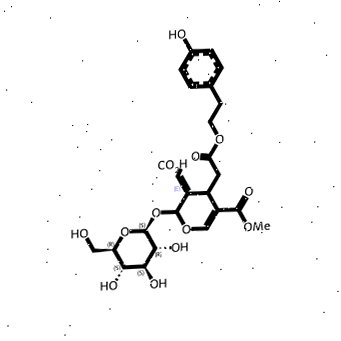 COC(=O)C1=COC(O[C@@H]2O[C@H](CO)[C@@H](O)[C@H](O)[C@H]2O)/C(=C/C(=O)O)C1CC(=O)OCCc1ccc(O)cc1